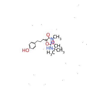 CNC(=O)[C@H](CCCc1ccc(O)cc1)OC(=O)NC(C)(C)C